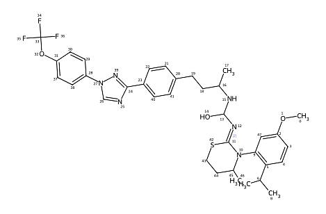 COc1ccc(C(C)C)c(N2/C(=N/C(O)NC(C)CCc3ccc(-c4ncn(-c5ccc(OC(F)(F)F)cc5)n4)cc3)SCCC2C)c1